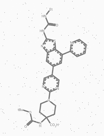 CCNC(=O)Nc1nc2cc(-c3cnc(N4CCC(NC(=O)OC(C)(C)C)(C(=O)O)CC4)nc3)cc(-c3ccccn3)c2s1